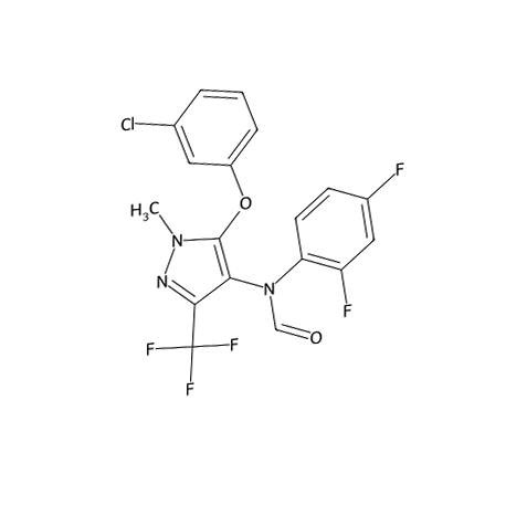 Cn1nc(C(F)(F)F)c(N(C=O)c2ccc(F)cc2F)c1Oc1cccc(Cl)c1